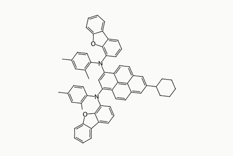 Cc1ccc(N(c2cc(N(c3ccc(C)cc3C)c3cccc4c3oc3ccccc34)c3ccc4cc(C5CCCCC5)cc5ccc2c3c54)c2cccc3c2oc2ccccc23)c(C)c1